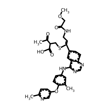 COCC(=O)NC/C=C(\SCC(C(C)=O)C(=O)O)c1ccc2ncnc(Nc3ccc(Oc4ccc(C)nc4)c(C)c3)c2c1